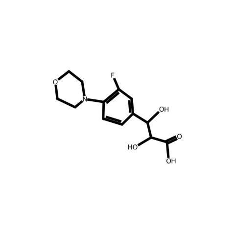 O=C(O)C(O)C(O)c1ccc(N2CCOCC2)c(F)c1